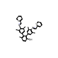 Cc1cc(-c2c(C)ccc(O)c2-c2cc(C)c(/N=C/c3ccccn3)c(C)c2)cc(C)c1/N=C/c1ccccn1